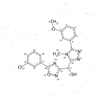 COc1cccc(-c2nnc(C(S)c3noc(-c4cccc(Cl)c4)n3)n2C)c1